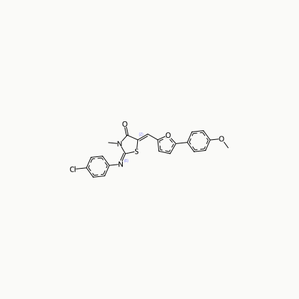 COc1ccc(-c2ccc(/C=C3\S/C(=N/c4ccc(Cl)cc4)N(C)C3=O)o2)cc1